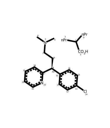 CCCC(CCC)C(=O)O.CN(C)CC[C@@H](c1ccc(Cl)cc1)c1ccccn1